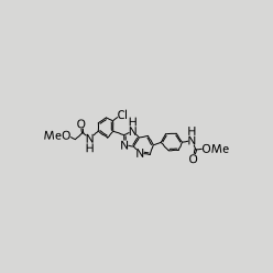 COCC(=O)Nc1ccc(Cl)c(-c2nc3ncc(-c4ccc(NC(=O)OC)cc4)cc3[nH]2)c1